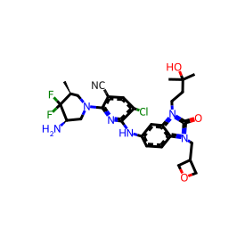 C[C@H]1CN(c2nc(Nc3ccc4c(c3)n(CCC(C)(C)O)c(=O)n4CC3COC3)c(Cl)cc2C#N)C[C@@H](N)C1(F)F